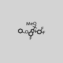 COCC(C)(C)c1cc2c(OCc3ccccc3)cc(F)cc2n1-c1ccc(F)c(F)c1